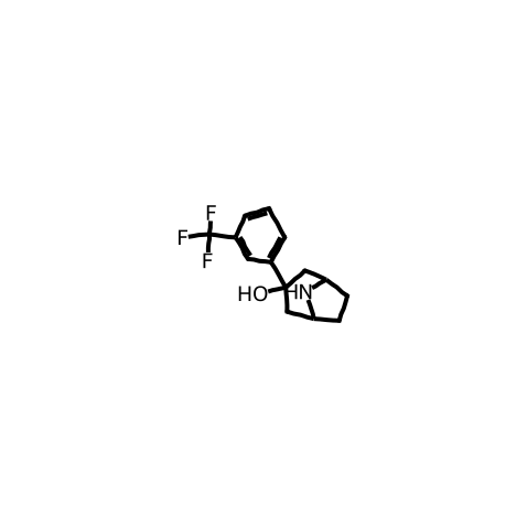 OC1(c2cccc(C(F)(F)F)c2)CC2CCC(C1)N2